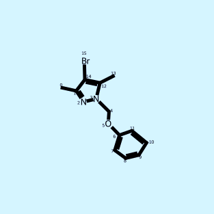 Cc1nn(COc2ccccc2)c(C)c1Br